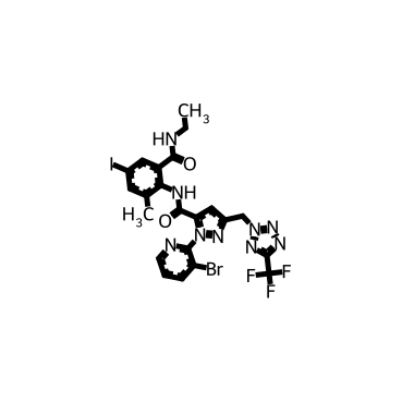 CCNC(=O)c1cc(I)cc(C)c1NC(=O)c1cc(Cn2nnc(C(F)(F)F)n2)nn1-c1ncccc1Br